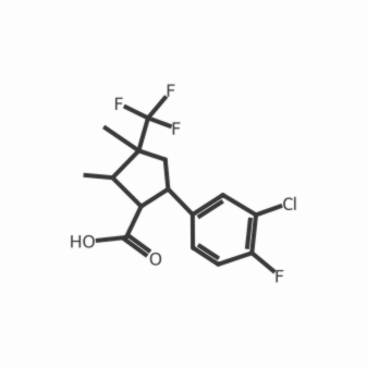 CC1C(C(=O)O)C(c2ccc(F)c(Cl)c2)CC1(C)C(F)(F)F